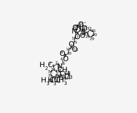 C=C(CN(C)CCOC(=O)CCC(=O)OCCOc1no[n+]([O-])c1S(=O)(=O)c1ccccc1)[C@@H]1CCC(C)(C)[C@H](C(C)(C)CCl)C1